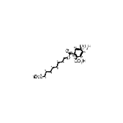 CCCCCCCCCCCCCCCCCCOC(=O)c1cc(C(=O)O)ccc1C(=O)O